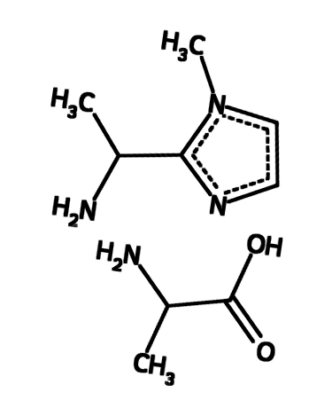 CC(N)C(=O)O.CC(N)c1nccn1C